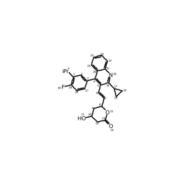 CC(C)c1cc(-c2c(/C=C/C3CC(O)CC(=O)O3)c(C3CC3)nc3ccccc23)ccc1F